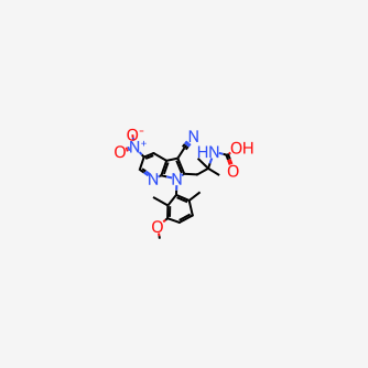 COc1ccc(C)c(-n2c(CC(C)(C)NC(=O)O)c(C#N)c3cc([N+](=O)[O-])cnc32)c1C